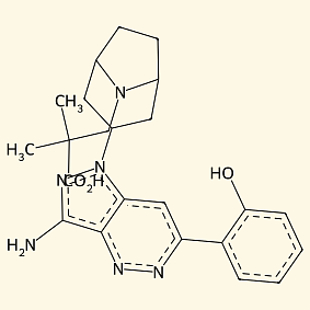 CC(C)(CN1C2CCC1CC(n1nc(N)c3nnc(-c4ccccc4O)cc31)C2)C(=O)O